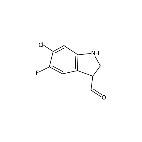 O=CC1CNc2cc(Cl)c(F)cc21